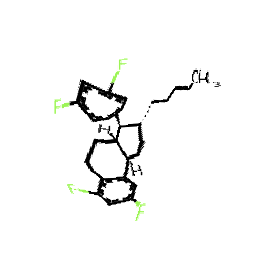 C/C=C/CC[C@@H]1CC[C@H]2c3cc(F)cc(F)c3CC[C@@H]2[C@H]1c1cc(F)cc(F)c1